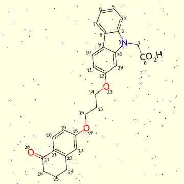 O=C(O)Cn1c2ccccc2c2ccc(OCCCOc3ccc4c(c3)CCCC4=O)cc21